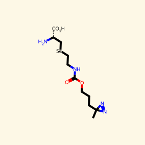 CC1(CCCOC(=O)NCC[Se]C[C@H](N)C(=O)O)N=N1